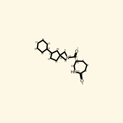 O=C1CCC[C@@H](C(=O)N2CC3(CCC(C4CCCCC4)C3)C2)CN1